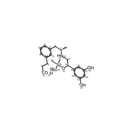 C[C@H](Cc1cccc(CCC(=O)O)c1)NC[C@H](O[Si](C)(C)C(C)(C)C)c1cc(O)cc(O)c1